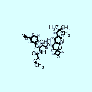 COCC(=O)N[C@@H](Cc1cccc(C#N)c1)[C@H](O)CN[C@H]1CC2(CCC2)Oc2ncc(CC(C)(C)C)cc21